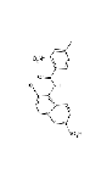 Cc1ccc(C(=O)Nc2c(O)ccc3cc(S(=O)(=O)O)ccc23)c([N+](=O)[O-])c1